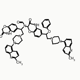 Cc1ccc2c(N3CCN(CC(Oc4ccccc4)c4ccc5c(c4)NC(=O)C(N(C=O)C(CN4CCN(c6cccc7nc(C)ccc67)CC4)c4ccc6c(c4)NC(=O)CO6)O5)CC3)cccc2n1